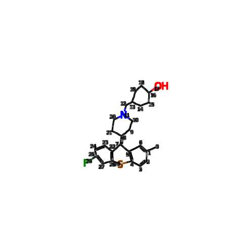 Cc1ccc2c(c1)C(=C1CCN(CC3CCC(O)CC3)CC1)c1ccc(F)cc1S2